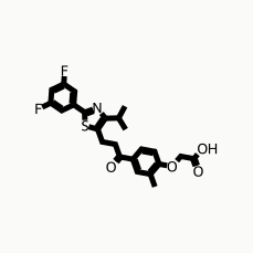 Cc1cc(C(=O)CCc2sc(-c3cc(F)cc(F)c3)nc2C(C)C)ccc1OCC(=O)O